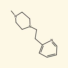 CN1CCN(CCc2ccccn2)CC1